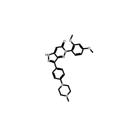 COc1ccc(-n2nc3c(-c4ccc(N5CCN(C)CC5)cc4)n[nH]c3cc2=O)c(OC)c1